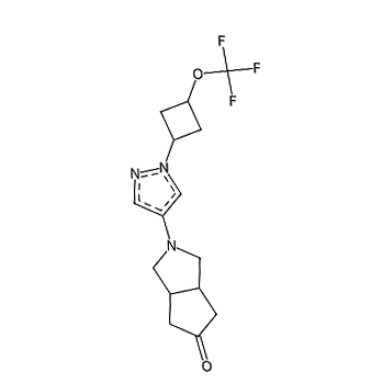 O=C1CC2CN(c3cnn(C4CC(OC(F)(F)F)C4)c3)CC2C1